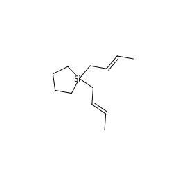 CC=CC[Si]1(CC=CC)CCCC1